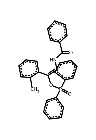 Cc1ccccc1C(=CNC(=O)c1ccccc1)OP(=O)(c1ccccc1)c1ccccc1